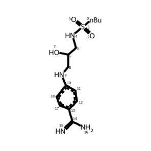 CCCCS(=O)(=O)NCC(O)CNc1ccc(C(=N)N)cc1